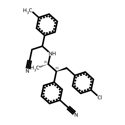 Cc1cccc(C(CC#N)N[C@@H](C)[C@@H](Cc2ccc(Cl)cc2)c2cccc(C#N)c2)c1